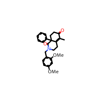 COc1ccc(CN2CCC3=C(C)C(=O)CCC3(c3ccccc3)C2=O)c(OC)c1